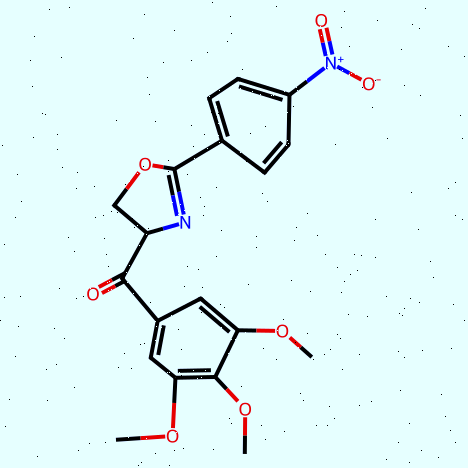 COc1cc(C(=O)C2COC(c3ccc([N+](=O)[O-])cc3)=N2)cc(OC)c1OC